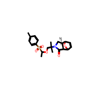 Cc1ccc(S(=O)(=O)C(C)OCC(C)(C)N2C[C@H]3C4C=CC(O4)C3C2=O)cc1